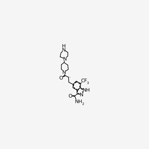 NC(=O)c1n[nH]c2c(C(F)(F)F)cc(C[CH]C(=O)N3CCC(N4CCNCC4)CC3)cc12